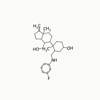 C=C1CCC2C(CO)C(C3(C)CCC(O)CC3CNc3cccc(F)c3)CCC12C